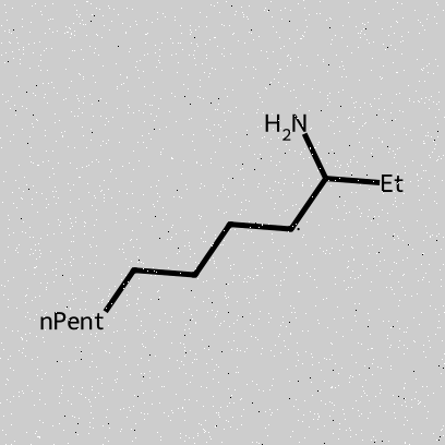 CCCCCCCC[CH]C(N)CC